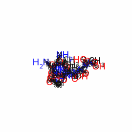 CC[C@H](C)[C@H](NC(=O)[C@H](CC(C)C)Nc1c(NCCCC(NCCN(CC=O)CCN(CCN(C)CC(=O)O)CC(=O)O)C(=O)O)c(=O)c1=O)C(=O)N[C@@H](CCCCN)C(=O)N[C@@H](CCCCN)C(=O)N1CCC[C@H]1C(=O)N[C@@H](Cc1ccccc1)C(=O)O